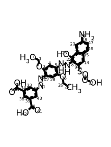 CCOc1cc(NNc2c(SOOO)cc3ccc(N)cc3c2O)c(OCC)cc1N=Nc1cc(C(=O)O)cc(C(=O)O)c1